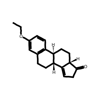 CCOc1ccc2c(c1)CC[C@H]1C3=CCC(=O)[C@H]3CC[C@H]21